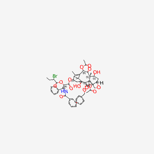 CCC(Br)C(=O)O[C@@H](C(=O)O[C@H]1C[C@@]2(O)[C@@H](OOCc3ccccc3)[C@@H]3[C@]4(OC(C)=O)CO[C@@H]4C[C@H](O)[C@@]3(C)C(=O)[C@H](OC(C)=O)C(=C1C)C2(C)C)[C@@H](NC(=O)c1ccccc1)c1ccccc1